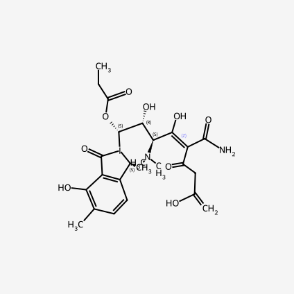 C=C(O)CC(=O)/C(C(N)=O)=C(/O)[C@H]([C@@H](O)[C@@H](OC(=O)CC)I1C(=O)c2c(ccc(C)c2O)[C@@H]1C)N(C)C